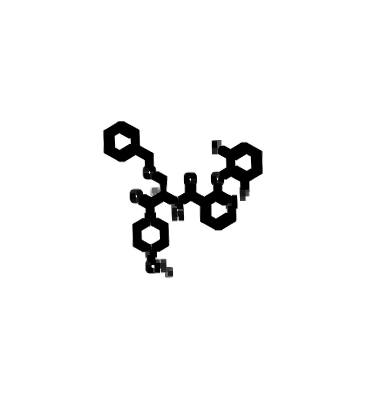 CN1CCN(C(=O)[C@@H](COCc2ccccc2)NC(=O)c2cccnc2Oc2c(F)cccc2F)CC1